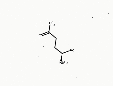 CN[C@@H](CCC(=O)C(F)(F)F)C(C)=O